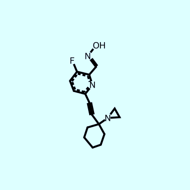 O/N=C/c1nc(C#CC2(N3CC3)CCCCC2)ccc1F